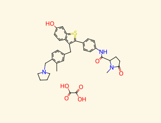 Cc1cc(Cc2c(-c3ccc(NC(=O)C4CCC(=O)N4C)cc3)sc3cc(O)ccc23)ccc1CN1CCCC1.O=C(O)C(=O)O